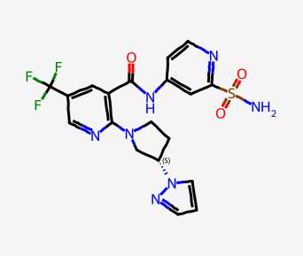 NS(=O)(=O)c1cc(NC(=O)c2cc(C(F)(F)F)cnc2N2CC[C@H](n3cccn3)C2)ccn1